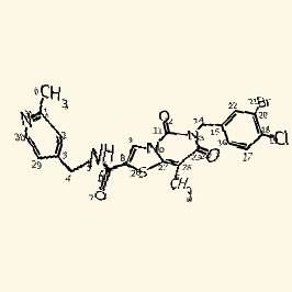 Cc1cc(CNC(=O)c2cn3c(=O)n(Cc4ccc(Cl)c(Br)c4)c(=O)c(C)c3s2)ccn1